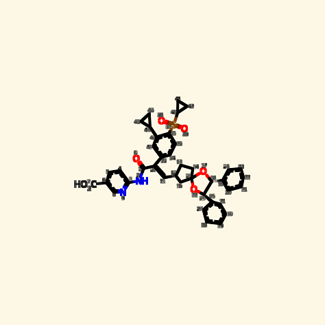 O=C(Nc1ccc(C(=O)O)cn1)/C(=C/[C@H]1CCC2(C1)O[C@H](c1ccccc1)[C@@H](c1ccccc1)O2)c1ccc(S(=O)(=O)C2CC2)c(C2CC2)c1